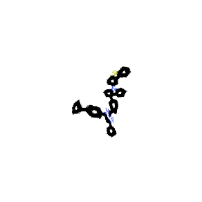 c1ccc(-c2ccc(-c3cc(-c4ccccc4)nc(-c4cccc(-c5cccc6c5c5ccccc5n6-c5ccc6sc7ccccc7c6c5)c4)n3)cc2)cc1